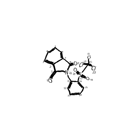 O=C1c2ccccc2C(=O)N1c1ccccc1S(=O)(=O)C(Cl)(Cl)Cl